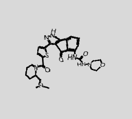 CN(C)CC1CCCCN1C(=O)c1ccc(-c2n[nH]c3c2C(=O)c2c(NC(=O)NN4CCOCC4)cccc2-3)s1